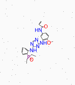 C=CC(=O)Nc1ccc(OC)c(Nc2ncnc(Nc3ccccc3P(=O)(CC)CC)n2)c1